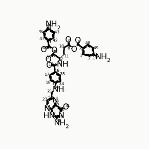 Nc1ccc(C(=O)OC(=O)CC[C@H](NC(=O)c2ccc(NCc3cnc4[nH]c(N)nc(=O)c4n3)cc2)C(=O)OC(=O)c2ccc(N)cc2)cc1